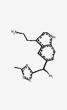 Cc1nsc(C(N)c2ccc3[nH]cc(CCN)c3c2)n1